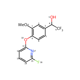 COc1cc(C(O)C(F)(F)F)ccc1Oc1cccc(F)n1